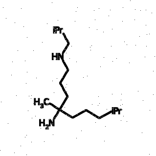 CC(C)CCCC(C)(N)CCCNCC(C)C